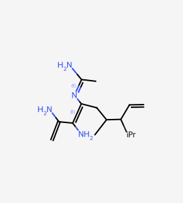 C=CC(C(C)C)C(C)CC(/N=C(\C)N)=C(\N)C(=C)N